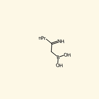 CCCC(=N)CB(O)O